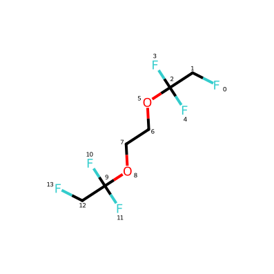 FCC(F)(F)OCCOC(F)(F)CF